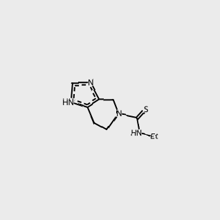 CCNC(=S)N1CCc2[nH]cnc2C1